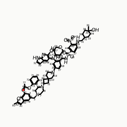 COc1cc(CN2CCN(C3CC4(CCN(c5ccc(C(=O)NS(=O)(=O)c6ccc(NCC7CCC(C)(O)CC7)c([N+](=O)[O-])c6)c(N6c7cc8cc[nH]c8nc7O[C@H]7COCC[C@@H]76)c5)CC4)C3)[C@@H](c3ccccc3OC(C)C)C2)cc2cc(C)oc12